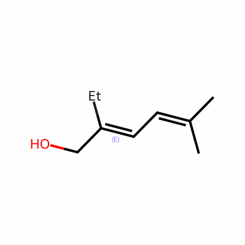 CC/C(=C\C=C(C)C)CO